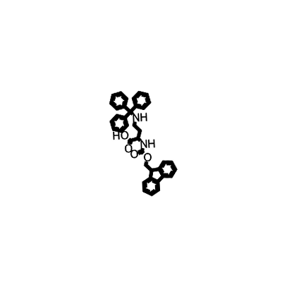 O=C(NC(CCNC(c1ccccc1)(c1ccccc1)c1ccccc1)C(=O)O)OCC1c2ccccc2-c2ccccc21